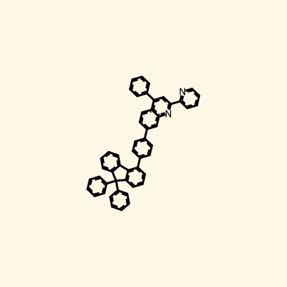 c1ccc(-c2cc(-c3ccccn3)nc3cc(-c4ccc(-c5cccc6c5-c5ccccc5C6(c5ccccc5)c5ccccc5)cc4)ccc23)cc1